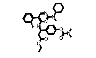 CCOC(=O)CC(Nc1nc(N(C)C2CCCCC2)ncc1-c1ccccc1F)c1ccc(OC(=O)N(C)C)cc1